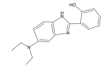 CCN(CC)c1ccc2[nH]c(-c3ccccc3O)nc2c1